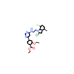 CCOC(=O)c1ccc(-c2cc(NCCn3c(Cl)cc4c(C)ccc(F)c43)ncn2)cc1OCC